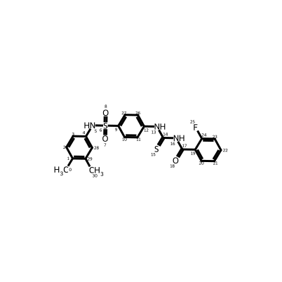 Cc1ccc(NS(=O)(=O)c2ccc(NC(=S)NC(=O)c3ccccc3F)cc2)cc1C